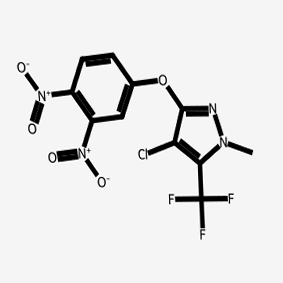 Cn1nc(Oc2ccc([N+](=O)[O-])c([N+](=O)[O-])c2)c(Cl)c1C(F)(F)F